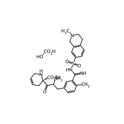 CCOC(=O)[C@@]1(C(=O)C(N)Cc2ccc(C)c(C(=N)NS(=O)(=O)c3ccc4c(c3)CN(C)CC4)c2)CC=CCN1.O=C(O)O